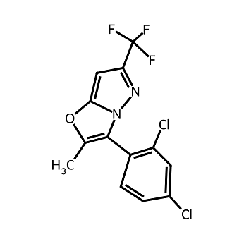 Cc1oc2cc(C(F)(F)F)nn2c1-c1ccc(Cl)cc1Cl